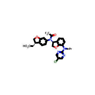 CCCN(c1ncc(Cl)cn1)c1cccc2c1OC[C@H]2N(C(=O)C(F)(F)F)c1ccc2c(c1)OC[C@H]2CC(=O)O